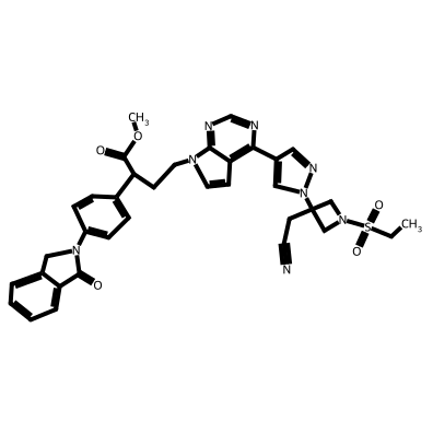 CCS(=O)(=O)N1CC(CC#N)(n2cc(-c3ncnc4c3ccn4CCC(C(=O)OC)c3ccc(N4Cc5ccccc5C4=O)cc3)cn2)C1